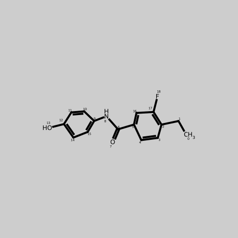 CCc1ccc(C(=O)Nc2ccc(O)cc2)cc1F